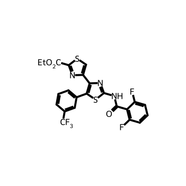 CCOC(=O)c1nc(-c2nc(NC(=O)c3c(F)cccc3F)sc2-c2cccc(C(F)(F)F)c2)cs1